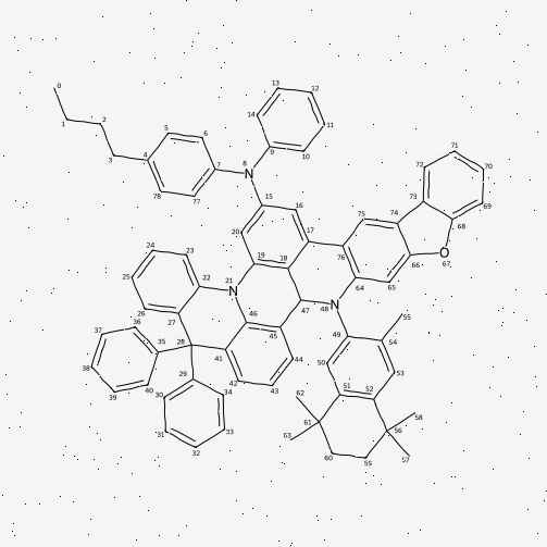 CCCCc1ccc(N(c2ccccc2)c2cc3c4c(c2)N2c5ccccc5C(c5ccccc5)(c5ccccc5)c5cccc(c52)C4N(c2cc4c(cc2C)C(C)(C)CCC4(C)C)c2cc4oc5ccccc5c4cc2-3)cc1